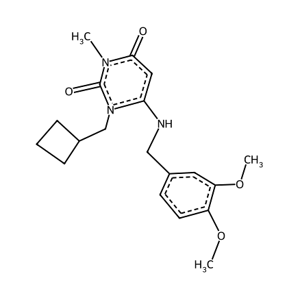 COc1ccc(CNc2cc(=O)n(C)c(=O)n2CC2CCC2)cc1OC